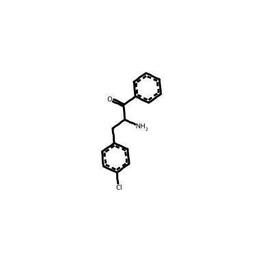 NC(Cc1ccc(Cl)cc1)C(=O)c1ccccc1